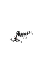 Cc1ccc(C)c(N2CCN(c3cc(Cl)c(C(=O)NCc4cccc(CN(C)C)c4)cc3N)CC2)c1